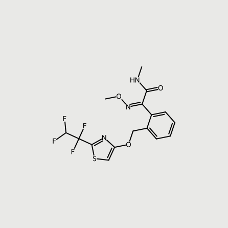 CNC(=O)C(=NOC)c1ccccc1COc1csc(C(F)(F)C(F)F)n1